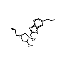 C=CCN1CC(O)[N+]([O-])(c2nc3cc(CCC)ccc3s2)C1